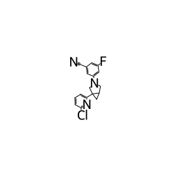 N#Cc1cc(F)cc(N2CC3CC3(c3cccc(Cl)n3)C2)c1